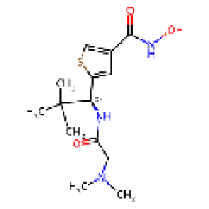 CN(C)CC(=O)N[C@H](c1cc(C(=O)NO)cs1)C(C)(C)C